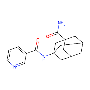 NC(=O)C12CC3CC(CC(NC(=O)c4cccnc4)(C3)C1)C2